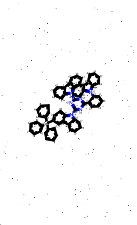 c1ccc([Si](c2ccccc2)(c2ccccc2)c2ccc3c(c2)c2ccccc2n3-c2nc(-c3ccccc3-n3c4ccccc4c4ccccc43)nc(-n3c4ccccc4c4ccccc43)n2)cc1